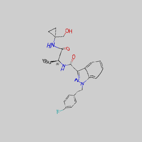 CC(C)(C)[C@H](NC(=O)c1nn(Cc2ccc(F)cc2)c2ccccc12)C(=O)NC1(CO)CC1